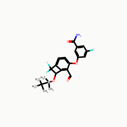 CC(C)(C)[Si](C)(C)OC1C2=C(C=O)C(Oc3cc(F)cc(C(N)=O)c3)=C=C=C2C1(F)F